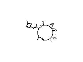 C/C(=C\c1csc(C)n1)[C@@H]1CCC(C)/C=C/C[C@H](C)[C@H](O)[C@@H](C)C(=O)C(C)(C)[C@@H](O)CC(=O)O1